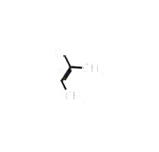 [CH2]/C=C(\C)Cl